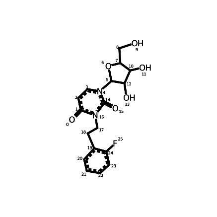 O=c1ccn(C2OC(CO)C(O)C2O)c(=O)n1CCc1ccccc1F